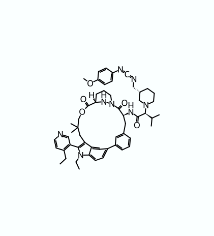 CCc1ccncc1-c1c2c3cc(ccc3n1CC)-c1cccc(c1)C[C@H](NC(=O)[C@H](C(C)C)N1CCC[C@@H](CN=C=Nc3ccc(OC)cc3)C1)C(=O)N1CCC[C@H](N1)C(=O)OCC(C)(C)C2